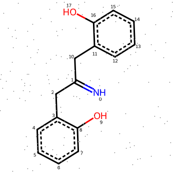 N=C(Cc1ccccc1O)Cc1ccccc1O